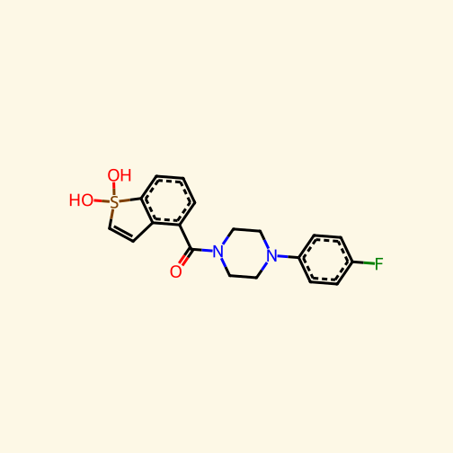 O=C(c1cccc2c1C=CS2(O)O)N1CCN(c2ccc(F)cc2)CC1